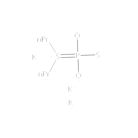 CCCS(CCC)=P([O-])([O-])[S-].[K+].[K+].[K+]